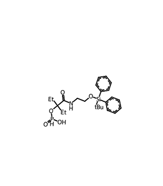 CCC(CC)(O[PH](=O)O)C(=O)NCCO[Si](c1ccccc1)(c1ccccc1)C(C)(C)C